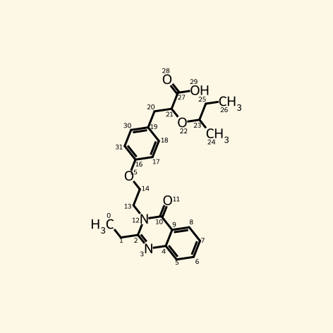 CCc1nc2ccccc2c(=O)n1CCOc1ccc(CC(OC(C)CC)C(=O)O)cc1